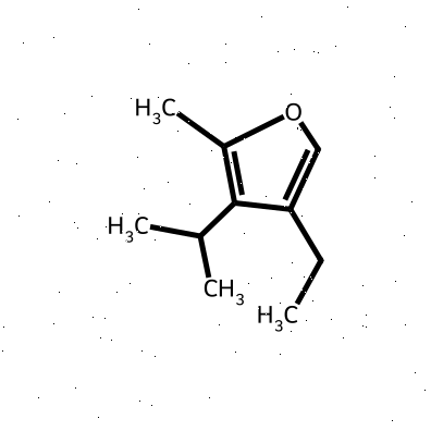 CCc1coc(C)c1C(C)C